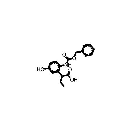 CCC(C(=O)O)c1cc(O)ccc1NC(=O)OCc1ccccc1